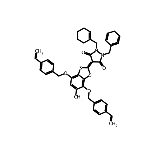 C=Cc1ccc(COc2cc(C)c(OCc3ccc(C=C)cc3)c3c2S/C(=C2/C(=O)N(CC4=C=CCC=C4)N(CC4=CCCCC4)C2=O)S3)cc1